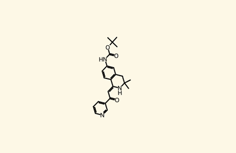 CC1(C)Cc2cc(NC(=O)OC(C)(C)C)ccc2C(=CC(=O)c2cccnc2)N1